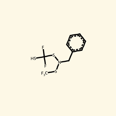 FC(F)(F)SN(Cc1ccccc1)SC(F)(F)S